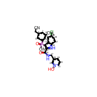 COP(=O)(c1cc(C)cc(CC#N)c1)c1c(C(=O)NCc2ccc[n+](O)c2)[nH]c2ccc(Cl)cc12